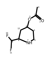 CC(=O)OC1CCNC(C(F)F)C1